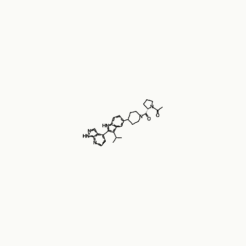 CC(=O)N1CCC[C@H]1C(=O)N1CCC(c2ccc3[nH]c(-c4ccnc5[nH]ncc45)c(C(C)C)c3c2)CC1